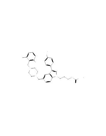 COC(=O)NCCCn1cc(-c2ccc(OC(F)(F)F)cc2)c2cc(CN3CCN(Cc4c(Cl)cccc4Cl)CC3)ccc21